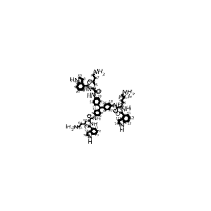 Cl.NCCCC[C@@H](NC(=O)c1cccc2[nH]ccc12)C(=O)Nc1ccc(C(c2ccc(NC(=O)[C@@H](CCCCN)NC(=O)c3cccc4[nH]ccc34)cc2)c2ccc(NC(=O)[C@@H](CCCCN)NC(=O)c3cccc4[nH]ccc34)cc2)cc1